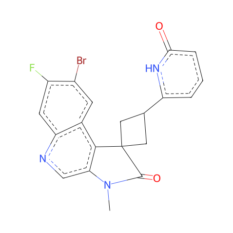 CN1C(=O)C2(CC(c3cccc(=O)[nH]3)C2)c2c1cnc1cc(F)c(Br)cc21